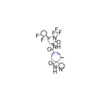 C=C1/C=C\C(C(=O)N[C@@H]2CC[C@@H](c3cccc(F)c3F)CN(CC(F)(F)F)C2=O)=C/CCC2(C1)C(=O)Nc1ncccc12